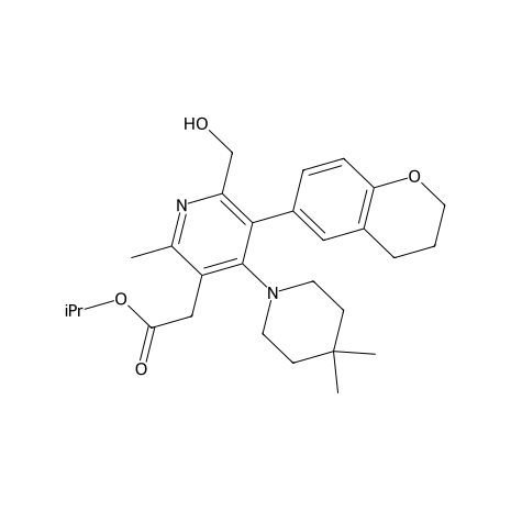 Cc1nc(CO)c(-c2ccc3c(c2)CCCO3)c(N2CCC(C)(C)CC2)c1CC(=O)OC(C)C